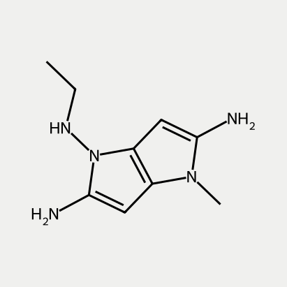 CCNn1c(N)cc2c1cc(N)n2C